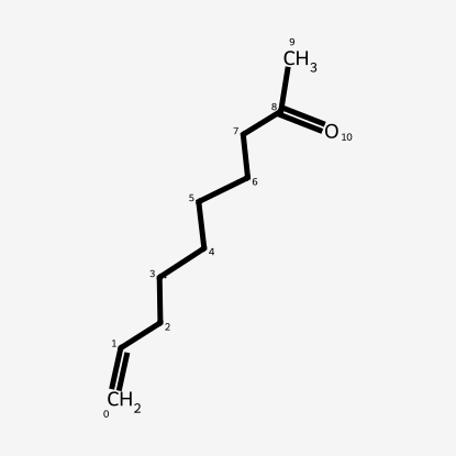 C=CC[CH]CCCCC(C)=O